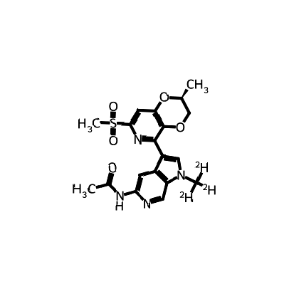 [2H]C([2H])([2H])n1cc(-c2nc(S(C)(=O)=O)cc3c2OC[C@H](C)O3)c2cc(NC(C)=O)ncc21